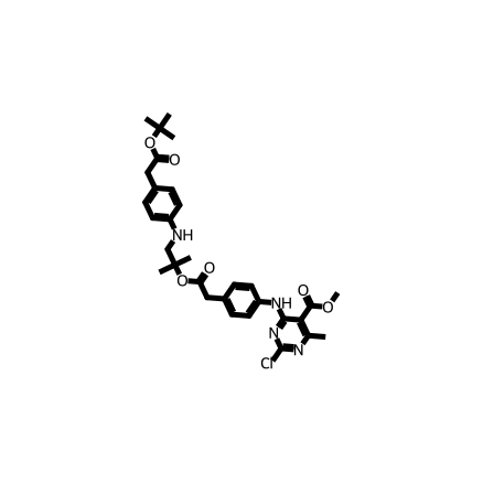 COC(=O)c1c(C)nc(Cl)nc1Nc1ccc(CC(=O)OC(C)(C)CNc2ccc(CC(=O)OC(C)(C)C)cc2)cc1